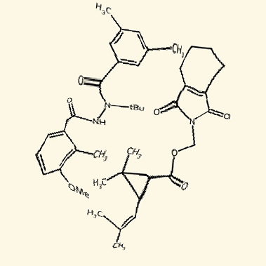 CC(C)=CC1C(C(=O)OCN2C(=O)C3=C(CCCC3)C2=O)C1(C)C.COc1cccc(C(=O)NN(C(=O)c2cc(C)cc(C)c2)C(C)(C)C)c1C